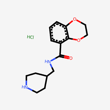 Cl.O=C(NCC1CCNCC1)c1cccc2c1OCCO2